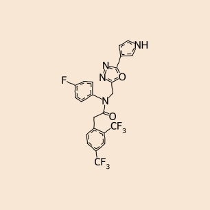 O=C(Cc1ccc(C(F)(F)F)cc1C(F)(F)F)N(Cc1nnc(-c2cc[nH]c2)o1)c1ccc(F)cc1